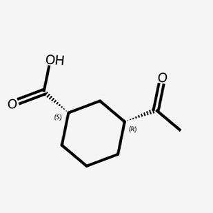 CC(=O)[C@@H]1CCC[C@H](C(=O)O)C1